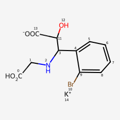 O=C(O)CNC(c1ccccc1Br)C(O)C(=O)[O-].[K+]